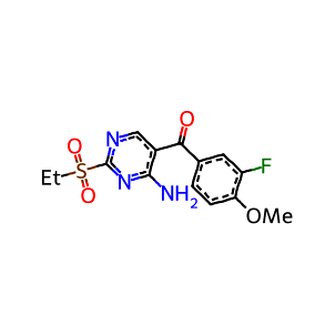 CCS(=O)(=O)c1ncc(C(=O)c2ccc(OC)c(F)c2)c(N)n1